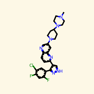 CN1CCN(C2CCN(c3cnc4ccc(-c5c[nH]nc5-c5cc(Cl)c(F)cc5F)nc4c3)CC2)CC1